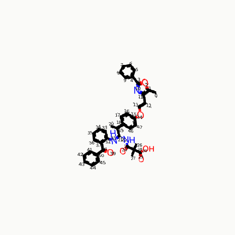 Cc1oc(-c2ccccc2)nc1CCOc1ccc(C(C)[C@H](NC(=O)C(C)(C)C(=O)O)Nc2ccccc2C(=O)c2ccccc2)cc1